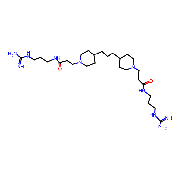 N=C(N)NCCCNC(=O)CCN1CCC(CCCC2CCN(CCC(=O)NCCCNC(=N)N)CC2)CC1